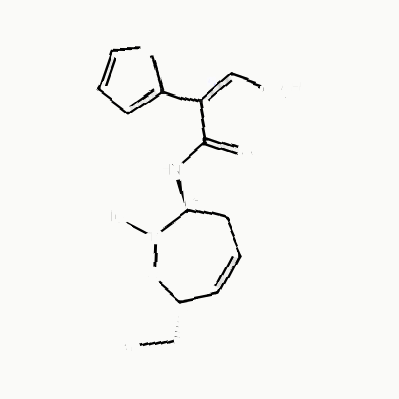 CC(=O)C[C@H]1C=CC[C@H](NC(=O)/C(=C\C(=O)O)c2cccs2)B(O)O1